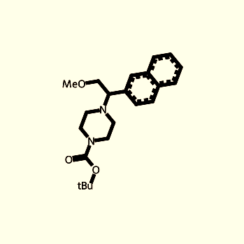 COCC(c1ccc2ccccc2c1)N1CCN(C(=O)OC(C)(C)C)CC1